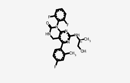 Cc1cc(F)ccc1-c1nc(N[C@@H](C)CO)nc2c1CNC(=O)N2c1c(F)cccc1F